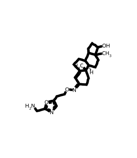 CC12CC[C@@H]3C(CCC4=CC(=NOCCc5cnc(CN)o5)CCC43C)C1CCC2O